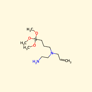 C=CCN(CCN)CCC[Si](OC)(OC)OC